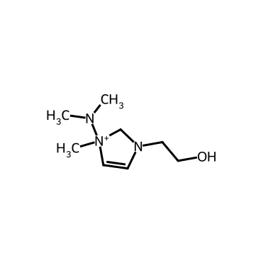 CN(C)[N+]1(C)C=CN(CCO)C1